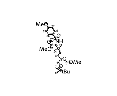 COCO[C@@H](CO[Si](C)(C)C(C)(C)C)CSC(C)(C)[C@@H](NS(=O)(=O)c1ccc(OC)cc1)C(=O)OC